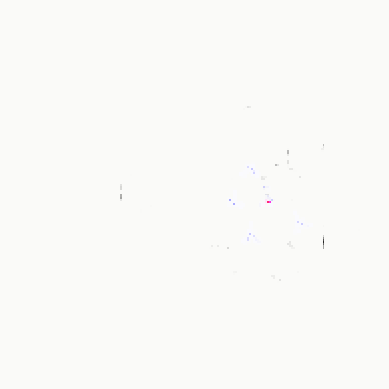 CCCCc1cccc(-c2cccc(-c3nc(-c4ccccc4)nc(-n4c5ccccc5c5ccc6c7ccccc7n(-c7ccc(-c8ccccc8)cc7)c6c54)n3)c2)c1